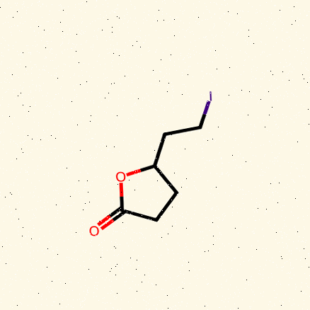 O=C1CCC(CCI)O1